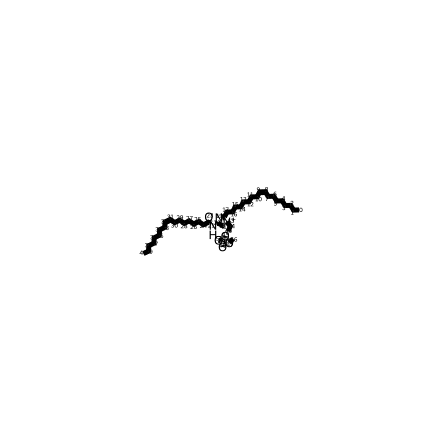 CCCCCCCC/C=C\CCCCCCCCC1=NC(NC(=O)CCCCCCC/C=C\CCCCCCCC)C[N+]1(C)CC.COS(=O)(=O)[O-]